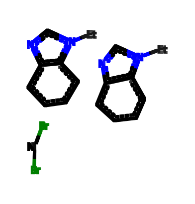 CCn1cnc2ccccc21.CCn1cnc2ccccc21.[Br][Ni][Br]